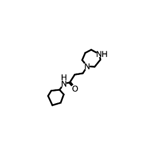 O=C(CCN1CCCNCC1)NC1CCCCC1